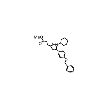 COC(=O)CCc1cc(-c2ccc(OCc3ccccc3)cc2)n(C2CCCCC2)n1